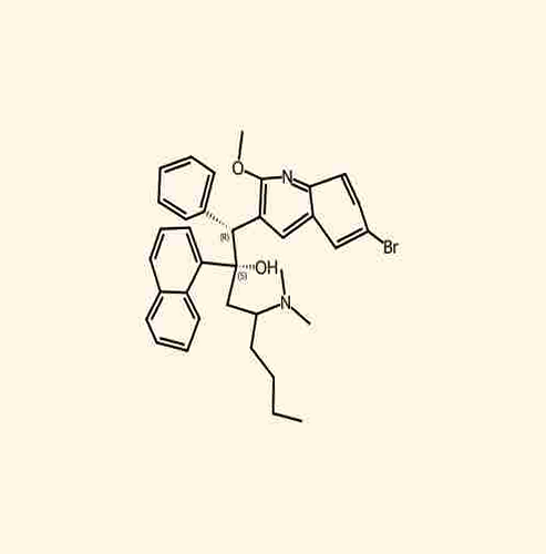 CCCCC(C[C@@](O)(c1cccc2ccccc12)[C@H](c1ccccc1)c1cc2cc(Br)ccc2nc1OC)N(C)C